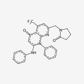 O=C1CCCN1Cc1cc(C(F)(F)F)c2c(=O)cc(Nc3ccccc3)n(-c3ccccc3)c2n1